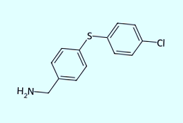 NCc1ccc(Sc2ccc(Cl)cc2)cc1